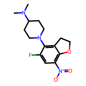 CN(C)C1CCN(c2c(F)cc([N+](=O)[O-])c3c2CCO3)CC1